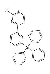 Clc1nccc(-c2cccc([Si](c3ccccc3)(c3ccccc3)c3ccccc3)c2)n1